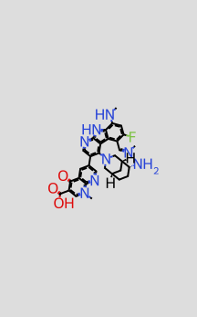 C/N=C\c1c(F)cc(NC)c2[nH]c3ncc(-c4cnc5c(c4)c(=O)c(C(=O)O)cn5C)c(N4C[C@H]5CC[C@@H](N)[C@H](C5)C4)c3c12